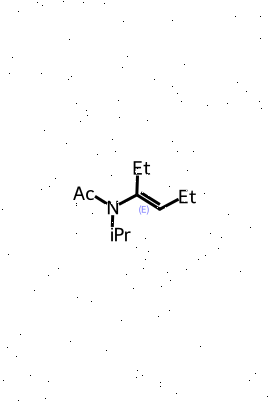 CC/C=C(\CC)N(C(C)=O)C(C)C